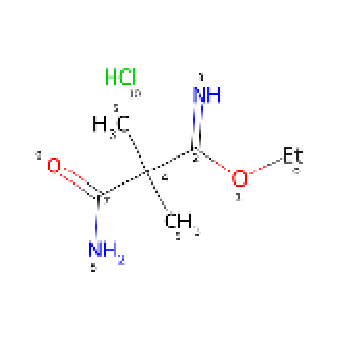 CCOC(=N)C(C)(C)C(N)=O.Cl